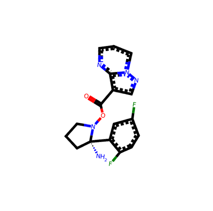 N[C@]1(c2cc(F)ccc2F)CCCN1OC(=O)c1cnn2cccnc12